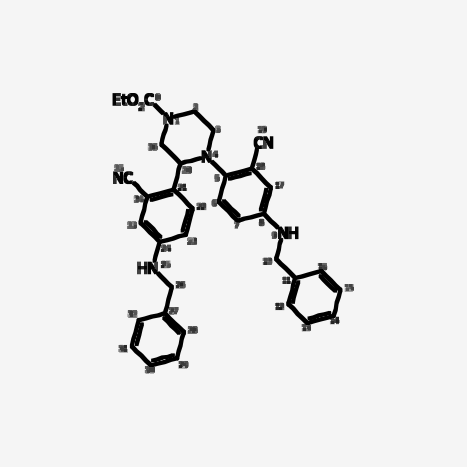 CCOC(=O)N1CCN(c2ccc(NCc3ccccc3)cc2C#N)C(c2ccc(NCc3ccccc3)cc2C#N)C1